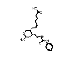 C[C@@H]1OC[C@H](C/C=C\CCCC(=O)O)[C@H](/C=N/NC(=O)Nc2ccccc2)O1